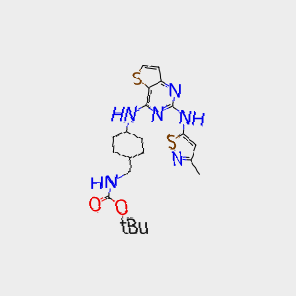 Cc1cc(Nc2nc(NC3CCC(CNC(=O)OC(C)(C)C)CC3)c3sccc3n2)sn1